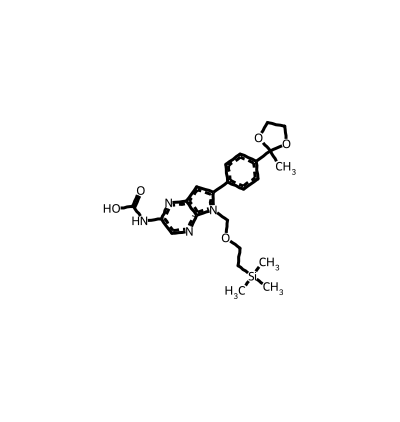 CC1(c2ccc(-c3cc4nc(NC(=O)O)cnc4n3COCC[Si](C)(C)C)cc2)OCCO1